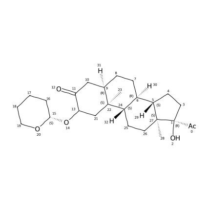 CC(=O)[C@@]1(O)CC[C@H]2[C@@H]3CC[C@@H]4CC(=O)C(O[C@H]5CCCCO5)C[C@]4(C)[C@H]3CC[C@@]21C